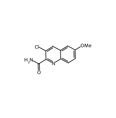 COc1ccc2nc(C(N)=O)c(Cl)[c]c2c1